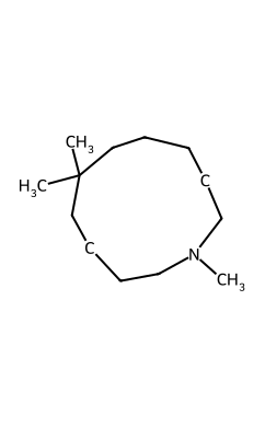 CN1CCCCCC(C)(C)CCCC1